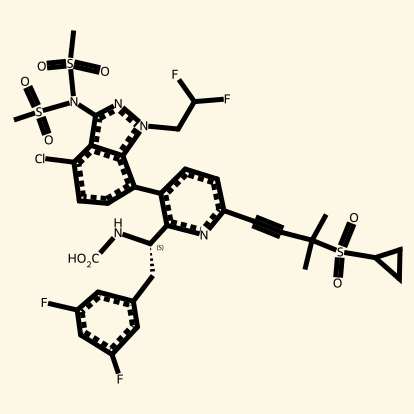 CC(C)(C#Cc1ccc(-c2ccc(Cl)c3c(N(S(C)(=O)=O)S(C)(=O)=O)nn(CC(F)F)c23)c([C@H](Cc2cc(F)cc(F)c2)NC(=O)O)n1)S(=O)(=O)C1CC1